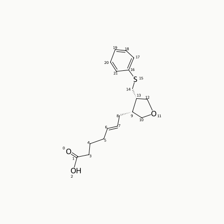 O=C(O)CCCC=CC[C@H]1COC[C@H]1CSc1ccccc1